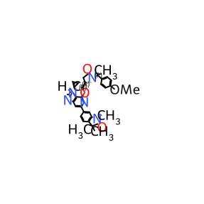 COc1ccc([C@@H](C)N2C[C@H]([C@@H](C)Oc3nc(-c4ccc5c(c4)N(C)C(=O)C5(C)C)cc4ncn(C5CC5)c34)CC2=O)cc1